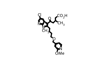 COc1cc(COCCCCc2c(C(=O)CC(C)CC(=O)O)c3cc(Cl)cnc3n2C)ccn1